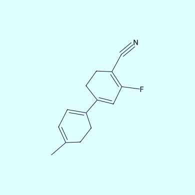 CC1=CC=C(C2=CC(F)=C(C#N)CC2)CC1